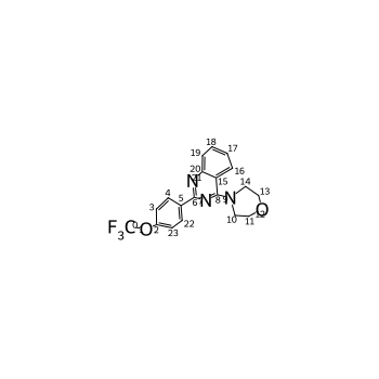 FC(F)(F)Oc1ccc(-c2nc(N3CCOCC3)c3ccccc3n2)cc1